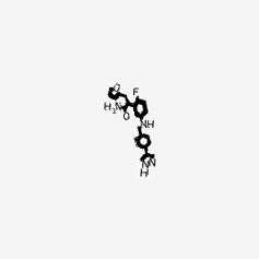 NC(=O)C(Cc1ccco1)c1cc(NCc2ccc(-c3cn[nH]c3)cc2)ccc1F